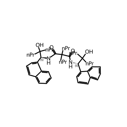 CCCC(CCC)(C(=O)N[C@@H](c1cccc2ccccc12)C(O)(CCC)CCC)C(=O)N[C@@H](c1cccc2ccccc12)C(O)(CCC)CCC